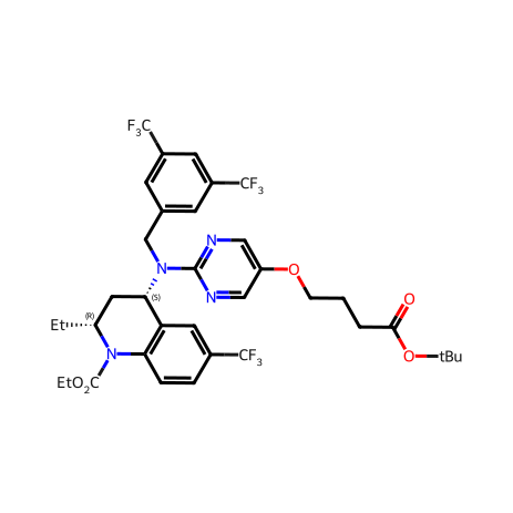 CCOC(=O)N1c2ccc(C(F)(F)F)cc2[C@@H](N(Cc2cc(C(F)(F)F)cc(C(F)(F)F)c2)c2ncc(OCCCC(=O)OC(C)(C)C)cn2)C[C@H]1CC